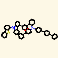 c1ccc(-c2ccc(-c3ccc(N(c4ccc(-c5ccccc5)cc4)c4ccccc4-c4cccc(-c5cccc6c5c5ccccc5n6-c5cccc6c5sc5ccccc56)c4)cc3)cc2)cc1